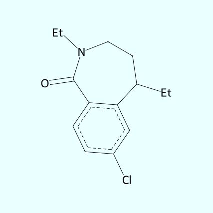 CCC1CCN(CC)C(=O)c2ccc(Cl)cc21